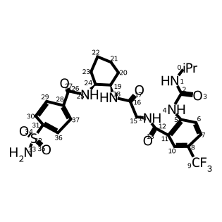 CC(C)NC(=O)Nc1ccc(C(F)(F)F)cc1C(=O)NCC(=O)N[C@@H]1CCCC[C@@H]1NC(=O)c1ccc(S(N)(=O)=O)cc1